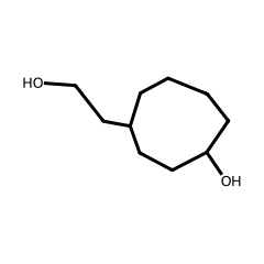 OCCC1CCCCC(O)CC1